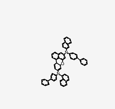 C1=CC2c3cccc4cc(N(c5ccc(-c6ccccc6)cc5)c5ccc6ccccc6c5)cc(c34)OC2C=C1N(c1ccc(-c2ccccc2)cc1)c1cccc2ccccc12